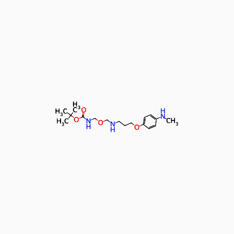 CNc1ccc(OCCCNCOCNC(=O)OC(C)(C)C)cc1